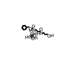 O=C(CCNC(=O)OCc1ccccc1)NCCCO.O=P(O)(O)O